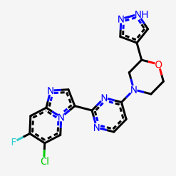 Fc1cc2ncc(-c3nccc(N4CCOC(c5cn[nH]c5)C4)n3)n2cc1Cl